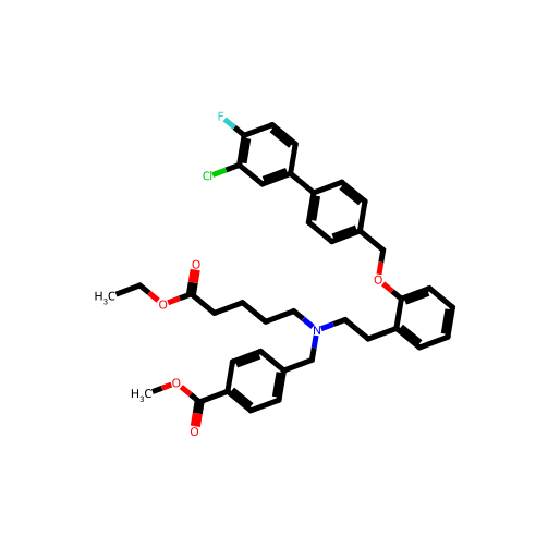 CCOC(=O)CCCCN(CCc1ccccc1OCc1ccc(-c2ccc(F)c(Cl)c2)cc1)Cc1ccc(C(=O)OC)cc1